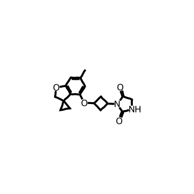 Cc1cc2c(c(OC3CC(N4C(=O)CNC4=O)C3)c1)C1(CC1)CO2